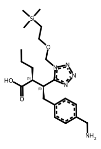 CCC[C@H](C(=O)O)[C@H](Cc1ccc(CN)cc1)c1nnnn1COCC[Si](C)(C)C